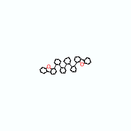 c1ccc(-c2ccccc2-c2cccc3c2oc2ccccc23)c(-c2ccccc2-c2ccccc2-c2cccc3c2oc2ccccc23)c1